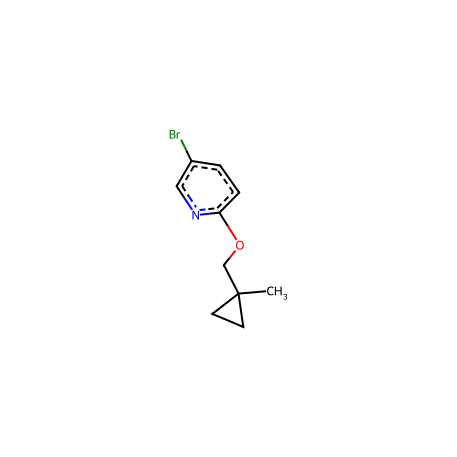 CC1(COc2ccc(Br)cn2)CC1